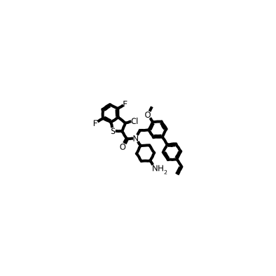 C=Cc1ccc(-c2ccc(OC)c(CN(C(=O)C3Sc4c(F)ccc(F)c4C3Cl)C3CCC(N)CC3)c2)cc1